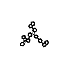 C1=C(c2cccc3ccccc23)CCC=C1N(c1ccc(-c2ccc(-c3cccc4ccccc34)cc2)cc1)c1cccc(-c2cccc3c2c2ccccc2n3C2CCCCC2)c1